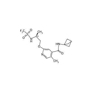 Cc1cnc(OC[C@H](C)NS(=O)(=O)C(F)(F)F)cc1C(=O)NC12CC(C1)C2